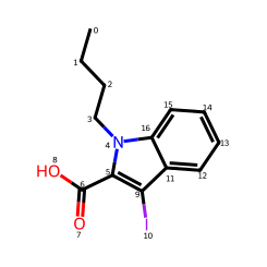 CCCCn1c(C(=O)O)c(I)c2ccccc21